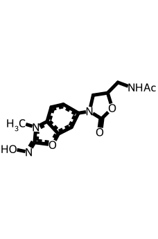 CC(=O)NCC1CN(c2ccc3c(c2)oc(=NO)n3C)C(=O)O1